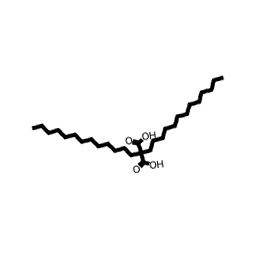 CCCCCCCCCCCCCC(CCCCCCCCCCCCC)(C(=O)O)C(=O)O